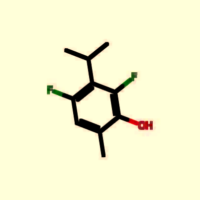 Cc1cc(F)c(C(C)C)c(F)c1O